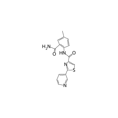 Cc1ccc(NC(=O)c2csc(-c3cccnc3)n2)c(C(N)=O)c1